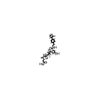 Cc1ncsc1-c1ccc(CCNC(=O)[C@@H]2C[C@@H](O)CN2C(=O)C(C)(C)[C@H](C)NC(=O)CN(C)CCC(=O)O)cc1